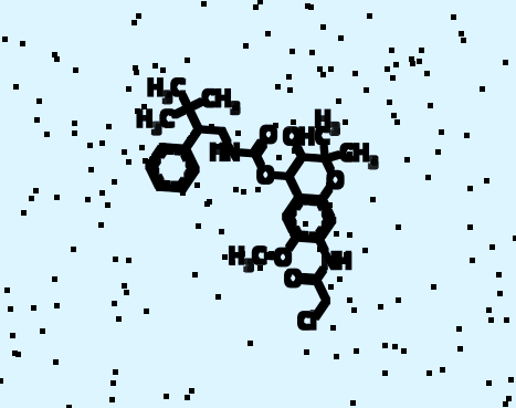 COc1cc2c(cc1NC(=O)CCl)OC(C)(C)C(O)C2OC(=O)NCC(c1ccccc1)C(C)(C)C